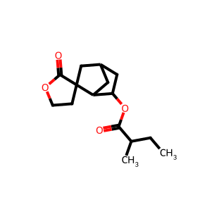 CCC(C)C(=O)OC1CC2CC1C1(CCOC1=O)C2